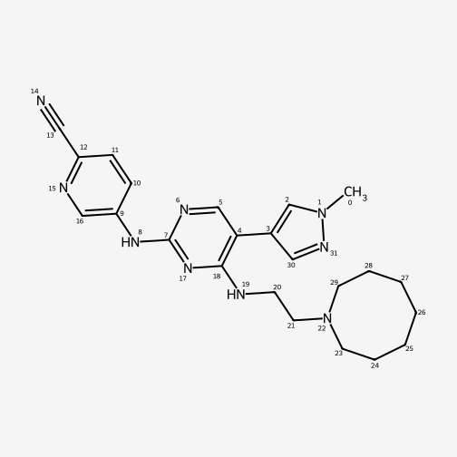 Cn1cc(-c2cnc(Nc3ccc(C#N)nc3)nc2NCCN2CCCCCCC2)cn1